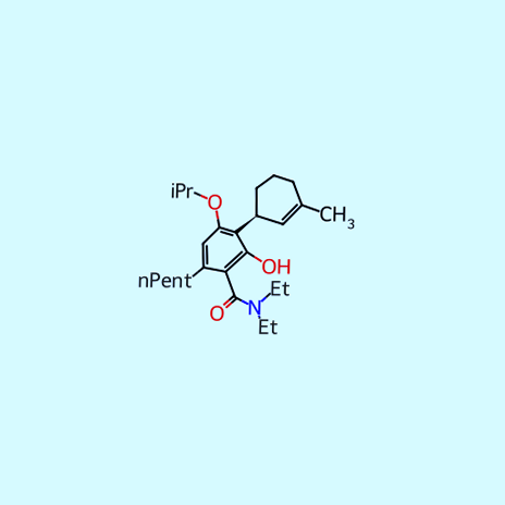 CCCCCc1cc(OC(C)C)c([C@@H]2C=C(C)CCC2)c(O)c1C(=O)N(CC)CC